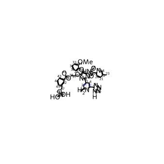 C=C/C=C(\C=C(/N)c1nnn[nH]1)c1nc(NS(=O)(=O)c2ccc(C)cn2)c(Oc2ccccc2OC)c(OCCOC(=O)c2cccc(CON(O)O)c2)n1